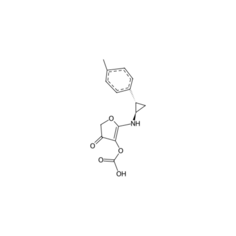 Cc1ccc([C@@H]2C[C@H]2NC2=C(OC(=O)O)C(=O)CO2)cc1